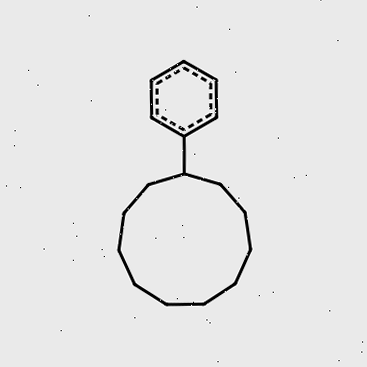 c1ccc(C2CCCCCCCCCC2)cc1